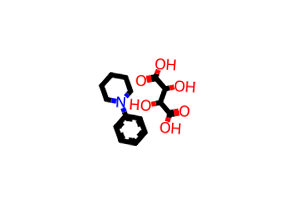 O=C(O)C(O)C(O)C(=O)O.c1ccc(N2CCCCC2)cc1